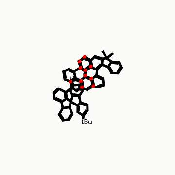 CC(C)(C)c1ccc2c(c1)C1(c3cc(C(C)(C)C)ccc3-2)c2c(-c3ccc(N(c4ccccc4-c4ccccc4-c4ccccc4-c4ccccc4)c4ccccc4-c4cccc5c4-c4ccccc4C5(C)C)cc3)cccc2C2C=CC=CC21